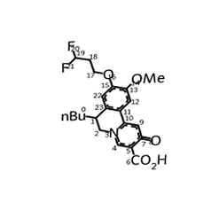 CCCCC1Cn2cc(C(=O)O)c(=O)cc2-c2cc(OC)c(OCCC(F)F)cc21